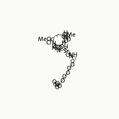 COc1cc2cc(c1Cl)NC(=O)C[C@H](OC(=O)[C@H](C)N(C)C(=O)CCSSC(C)(C)CC(=O)N/N=C1\CCCc3cc(OCCOCCOCCOCCOCCC(=O)ON4C(=O)CCC4=O)ccc31)C(C)(O)C[C@H](C)[C@@H]1C[C@@](O)(NC(=O)O1)[C@H](OC)/C=C/C=C(\C)C2